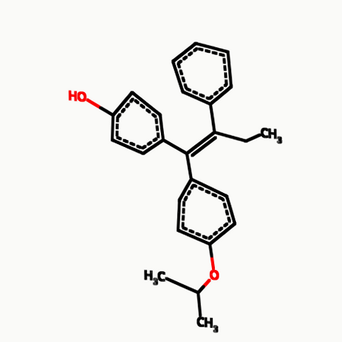 CCC(=C(c1ccc(O)cc1)c1ccc(OC(C)C)cc1)c1ccccc1